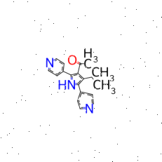 CC(=O)c1c(-c2ccncc2)[nH]c(-c2ccncc2)c1C(C)C